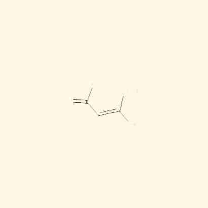 CCC(=CC(=O)Cl)C(=O)O